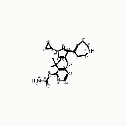 CC(C)(C)c1c(Oc2cn(C3CC3)nc2C2=CCCNCC2)ccnc1OC(N)=O